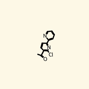 CC(=O)c1ccc(-c2ccccn2)nc1Cl